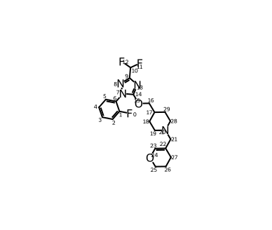 Fc1ccccc1-n1nc(C(F)F)nc1OCC1CCN(CC2=COCCC2)CC1